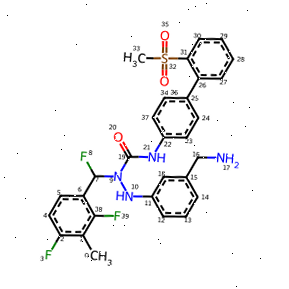 Cc1c(F)ccc(C(F)N(Nc2cccc(CN)c2)C(=O)Nc2ccc(-c3ccccc3S(C)(=O)=O)cc2)c1F